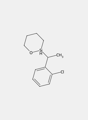 CC(c1ccccc1Cl)[SiH]1CCCCO1